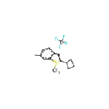 Cc1ccc2cc(C3CCC3)[s+](C(F)(F)F)c2c1.F[B-](F)(F)F